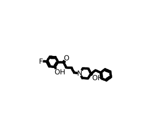 O=C(CCCN1CCC(O)(Cc2ccccc2)CC1)c1ccc(F)cc1O